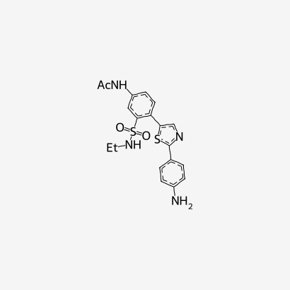 CCNS(=O)(=O)c1cc(NC(C)=O)ccc1-c1cnc(-c2ccc(N)cc2)s1